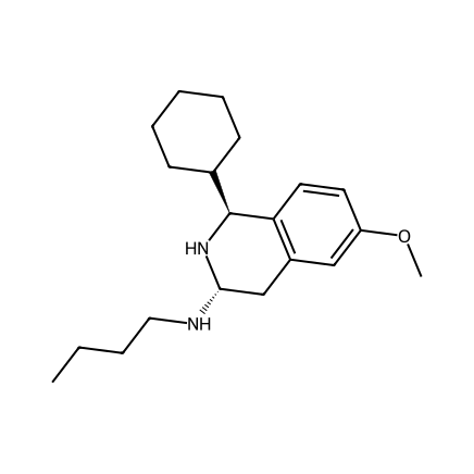 CCCCN[C@H]1Cc2cc(OC)ccc2[C@H](C2CCCCC2)N1